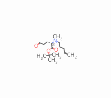 C=CCCCN(C)[C@@H](CCC=O)C(=O)OC(C)(C)C